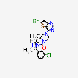 C[C@H](NC(=O)N1CCN(c2ncnc3cc(Br)sc23)CC1(C)C)c1cccc(Cl)c1